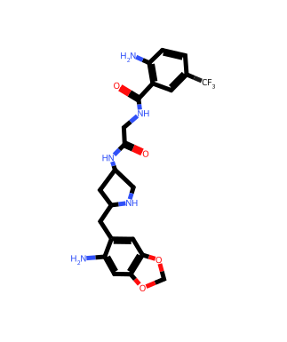 Nc1cc2c(cc1CC1CC(NC(=O)CNC(=O)c3cc(C(F)(F)F)ccc3N)CN1)OCO2